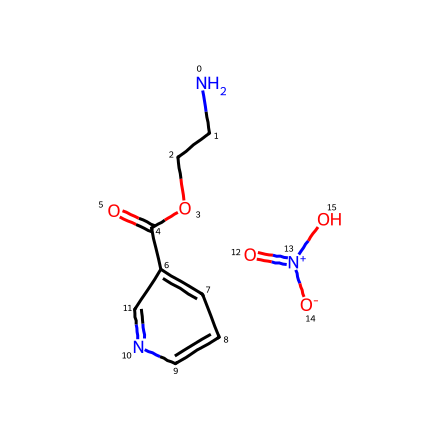 NCCOC(=O)c1cccnc1.O=[N+]([O-])O